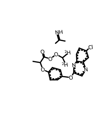 CC(C)=N.[2H]C([2H])OOC(=O)C(C)Oc1ccc(Oc2cnc3cc(Cl)ccc3n2)cc1